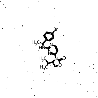 CC(C)C1COC(=O)N1c1ccnc(N[C@@H](C)c2ccc(Br)cc2)n1